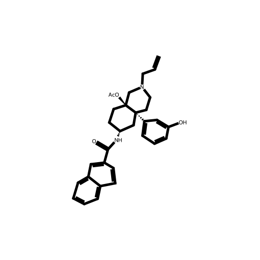 C=CCN1CC[C@@]2(c3cccc(O)c3)C[C@H](NC(=O)c3ccc4ccccc4c3)CC[C@]2(OC(C)=O)C1